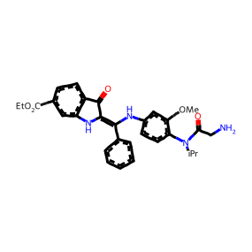 CCOC(=O)c1ccc2c(c1)NC(=C(Nc1ccc(N(C(=O)CN)C(C)C)c(OC)c1)c1ccccc1)C2=O